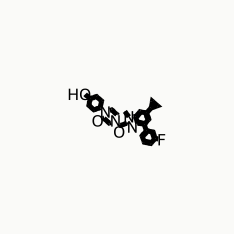 Cn1c(C(=O)N2CCN(C3CCC(O)CC3)C(=O)C2)nc2c(-c3cccc(F)c3)cc(C3CC3)cc21